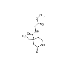 CCC1(C(=O)NCC(=O)OC)CCNC(=O)C1